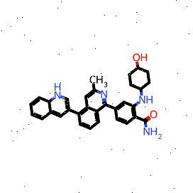 Cc1cc2c(C3=CNC4C=CC=CC4=C3)cccc2c(-c2ccc(C(N)=O)c(NC3CCC(O)CC3)c2)n1